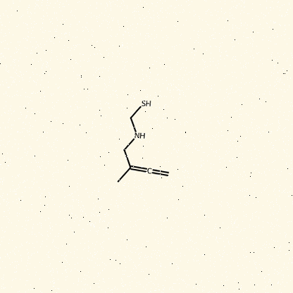 C=C=C(C)CNCS